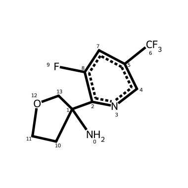 NC1(c2ncc(C(F)(F)F)cc2F)CCOC1